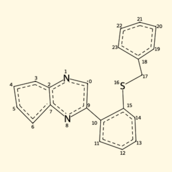 [c]1nc2ccccc2nc1-c1ccccc1SCc1ccccc1